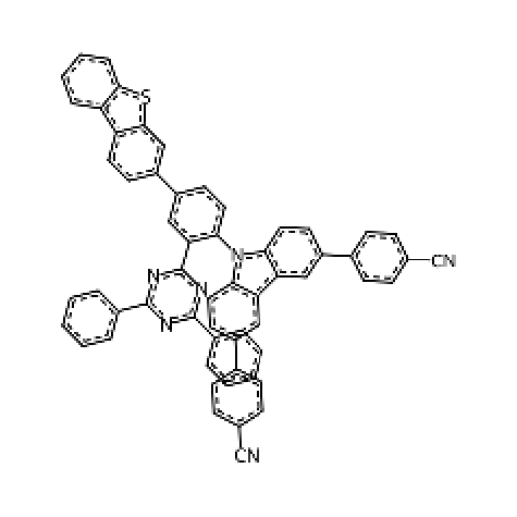 N#Cc1ccc(-c2ccc3c(c2)c2cc(-c4ccc(C#N)cc4)ccc2n3-c2ccc(-c3ccc4c(c3)sc3ccccc34)cc2-c2nc(-c3ccccc3)nc(-c3ccccc3)n2)cc1